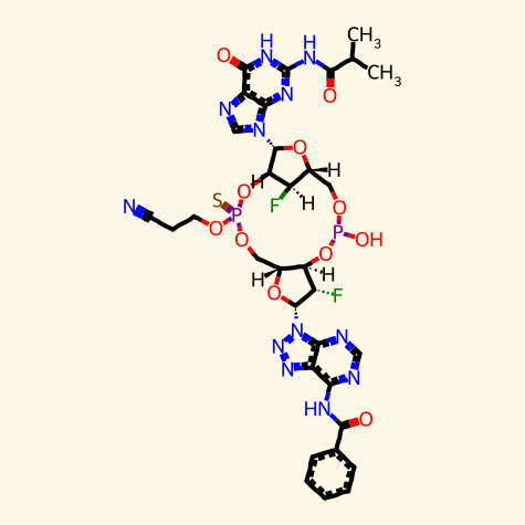 CC(C)C(=O)Nc1nc2c(ncn2[C@@H]2O[C@@H]3COP(O)O[C@H]4[C@H](F)[C@H](n5nnc6c(NC(=O)c7ccccc7)ncnc65)O[C@@H]4COP(=S)(OCCC#N)O[C@@H]2[C@@H]3F)c(=O)[nH]1